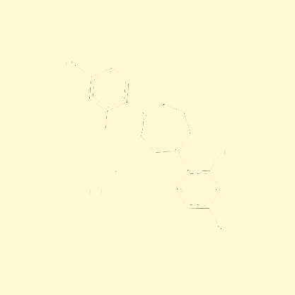 Cc1cc(N)ccc1N1CCCN(c2ccc(N)cc2C)CC1.Cl.Cl.Cl.Cl